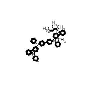 C/C(F)=C\C(C)C(C)n1c2c(c3ccccc31)C=C(N(C1C=CC(c3ccc(N(c4ccccc4)c4ccc5c(c4)c4ccccc4n5C4=CC=C(F)CC4)cc3)=CC1)C1C=CC=CC1C)CC2